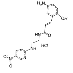 Cl.Nc1ccc(O)c(C=CC(=O)NCCNc2ccc([N+](=O)[O-])cn2)c1